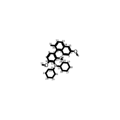 COc1ccc2c(-c3ccc(OC)c(P(C4CCCCC4)C4CCCCC4)c3OC)c(C)ccc2c1